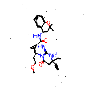 C#C[C@@]1(CC)CC(=O)N([C@@H](CCOC)C2=C[C@H]2C(=O)N[C@H]2CC(C)(C)Oc3ccccc32)C(=N)N1